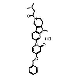 CN(C)CC(=O)N1CCc2c(c3ccc(-n4ccc(OCc5ccccc5)cc4=O)cc3n2C)C1.Cl